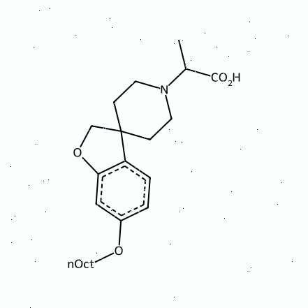 CCCCCCCCOc1ccc2c(c1)OCC21CCN(C(C)C(=O)O)CC1